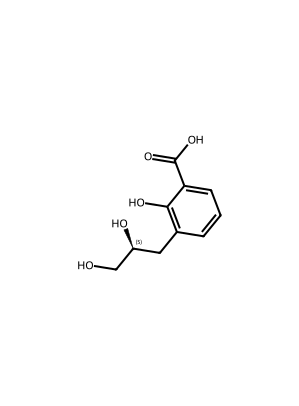 O=C(O)c1cccc(C[C@H](O)CO)c1O